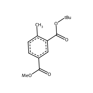 COC(=O)c1ccc(C)c(C(=O)OC(C)(C)C)c1